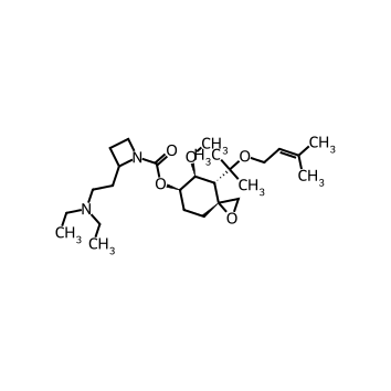 CCN(CC)CCC1CCN1C(=O)O[C@@H]1CC[C@]2(CO2)[C@@H](C(C)(C)OCC=C(C)C)[C@@H]1OC